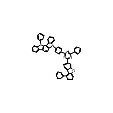 c1ccc(-c2nc(-c3ccc(-n4c5ccccc5c5c4ccc4c6ccccc6n(-c6ccccc6)c45)cc3)nc(-c3ccc4c(c3)oc3cccc(-c5ccccc5)c34)n2)cc1